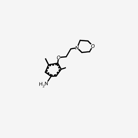 Cc1cc(N)cc(C)c1OCCN1CCOCC1